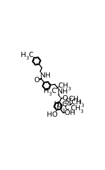 Cc1ccc(CCNC(=O)c2cccc(CC(C)(C)NC[C@@H](O[Si](C)(C)C(C)(C)C)c3ccc(O)c(CO)c3)c2)cc1